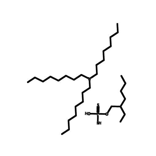 CCCCC(CC)COP(O)(=S)S.CCCCCCCCN(CCCCCCCC)CCCCCCCC